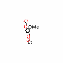 CCOCOCc1ccc(OCC2CO2)c(OC)c1